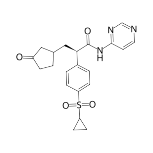 O=C1CCC(C[C@@H](C(=O)Nc2ccncn2)c2ccc(S(=O)(=O)C3CC3)cc2)C1